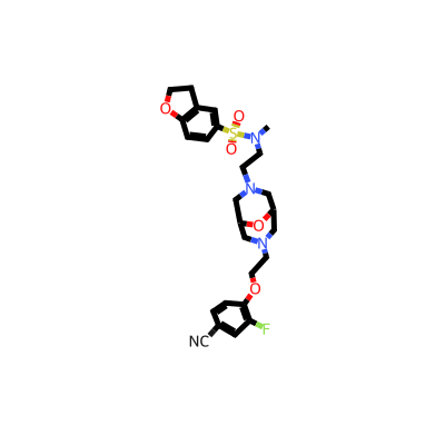 CN(CCN1CC2CN(CCOc3ccc(C#N)cc3F)CC(C1)O2)S(=O)(=O)c1ccc2c(c1)CCO2